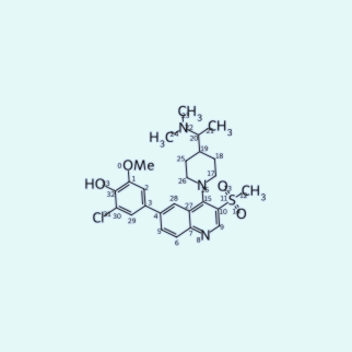 COc1cc(-c2ccc3ncc(S(C)(=O)=O)c(N4CCC(C(C)N(C)C)CC4)c3c2)cc(Cl)c1O